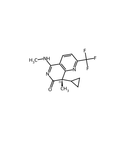 CNC1=NC(=O)[C@@](C)(C2CC2)c2nc(C(F)(F)F)ccc21